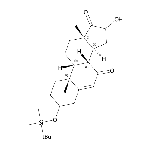 CC(C)(C)[Si](C)(C)OC1CC[C@@]2(C)C(=CC(=O)[C@@H]3[C@H]2CC[C@]2(C)C(=O)C(O)C[C@@H]32)C1